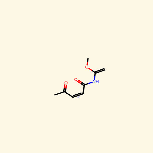 C=C(NC(=O)/C=C\C(C)=O)OC